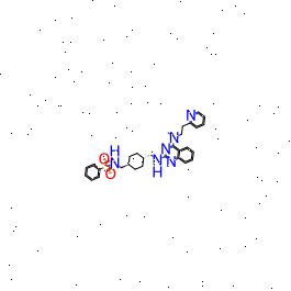 CN(CCc1ccccn1)c1nc(NC[C@H]2CC[C@H](CNS(=O)(=O)c3ccccc3)CC2)nc2ccccc12